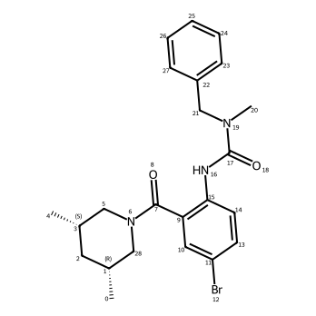 C[C@@H]1C[C@H](C)CN(C(=O)c2cc(Br)ccc2NC(=O)N(C)Cc2ccccc2)C1